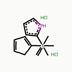 Cl.Cl.[CH2]=[Ti]([CH3])([CH3])([CH3])([C]1=CC=CC1)[c]1ccc[pH]1